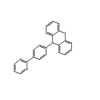 c1cnc(-c2ccc(N3c4ccccc4Sc4ccccc43)cc2)nc1